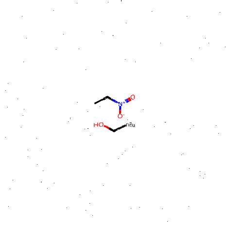 CCCCCO.CC[N+](=O)[O-]